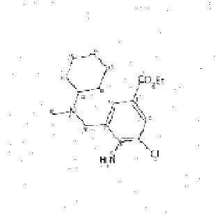 CCOC(=O)c1cc(Cl)c(N)c(CN(C)C2CCCCC2)c1